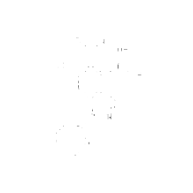 Cc1cc2c(cnn2C2CCCCO2)c(B(O)O)c1C(F)F